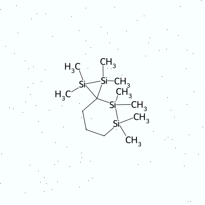 C[Si]1(C)CCCC2([Si]1(C)C)[Si](C)(C)[Si]2(C)C